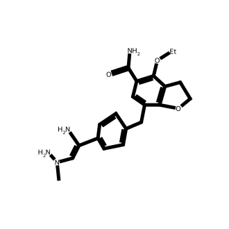 CCOc1c(C(N)=O)cc(Cc2ccc(/C(N)=C/N(C)N)cc2)c2c1CCO2